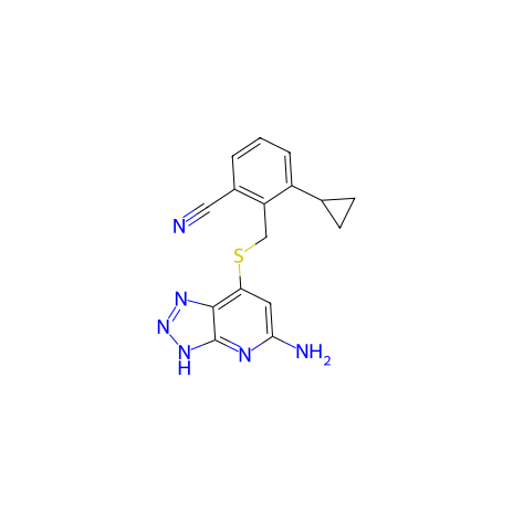 N#Cc1cccc(C2CC2)c1CSc1cc(N)nc2[nH]nnc12